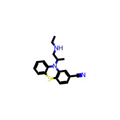 CCNCC(C)N1c2ccccc2Sc2ccc(C#N)cc21